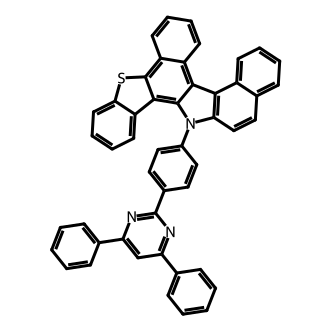 c1ccc(-c2cc(-c3ccccc3)nc(-c3ccc(-n4c5ccc6ccccc6c5c5c6ccccc6c6sc7ccccc7c6c54)cc3)n2)cc1